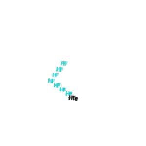 F.F.F.F.F.F.F.[TeH]